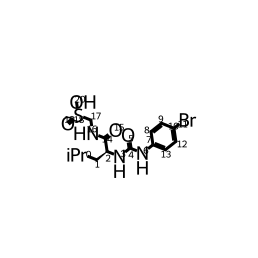 CC(C)C[C@H](NC(=O)Nc1ccc(Br)cc1)C(=O)NCS(=O)O